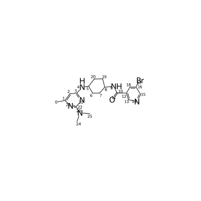 Cc1cc(NC2CCC(NC(=O)c3cncc(Br)c3)CC2)nc(N(C)C)n1